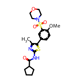 COc1ccc(-c2sc(NC(=O)C3CCCC3)nc2C)cc1S(=O)(=O)N1CCOCC1